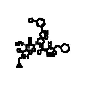 CCC[C@H](NC(=O)[C@@H]1C[C@]2(CC(c3cccc(Cl)c3)=NO2)CN1C(=O)[C@@H](NC(=O)CC1CCCCC1)C(C)(C)C)C(=O)C(=O)NCC1CC1